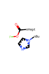 CCCCCCCC(=O)OF.CCCCn1ccnc1